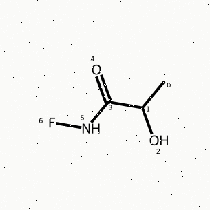 CC(O)C(=O)NF